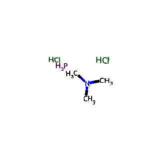 CN(C)C.Cl.Cl.P